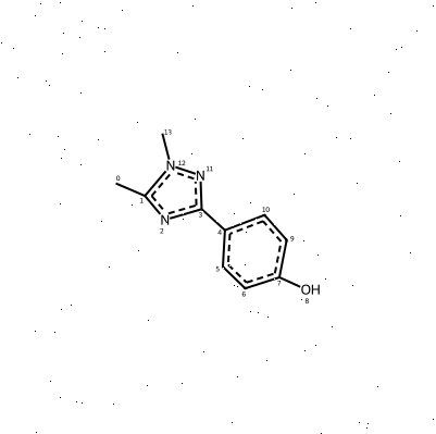 Cc1nc(-c2ccc(O)cc2)nn1C